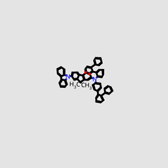 CC1(C)c2cc(N(c3ccc(-c4ccccc4-c4ccccc4)cc3)c3ccccc3-c3ccccc3-c3ccccc3)ccc2-c2ccc(-n3c4ccccc4c4ccccc43)cc21